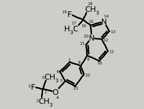 CC(C)(F)Oc1ccc(-c2ccc3cnc(C(C)(C)F)n3c2)cc1